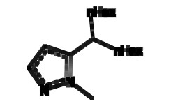 CCCCCCC(CCCCCC)c1ccnn1C